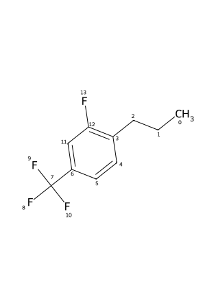 CCCc1ccc(C(F)(F)F)cc1F